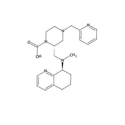 CN(C[C@H]1CN(Cc2ccccn2)CCN1C(=O)O)[C@H]1CCCc2cccnc21